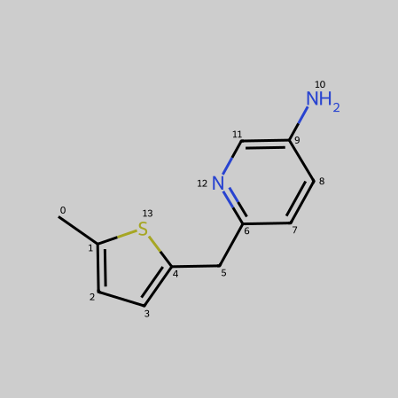 Cc1ccc(Cc2ccc(N)cn2)s1